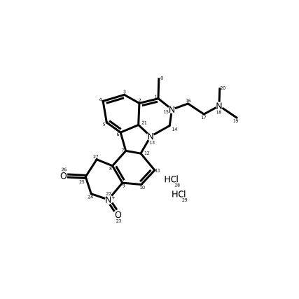 CC1=C2C=CC=C3C4C5=C(C=CC4N(CN1CCN(C)C)C32)[N+](=O)CC(=O)C5.Cl.Cl